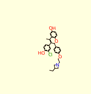 CCC1CN(CCOc2ccc(C3Oc4ccc(O)cc4C(C)=C3c3ccc(O)c(Cl)c3)cc2)C1